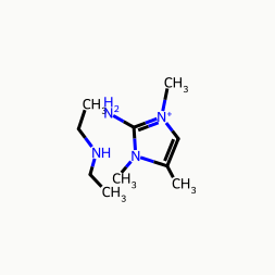 CCNCC.Cc1c[n+](C)c(N)n1C